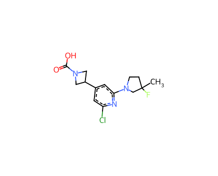 CC1(F)CCN(c2cc(C3CN(C(=O)O)C3)cc(Cl)n2)C1